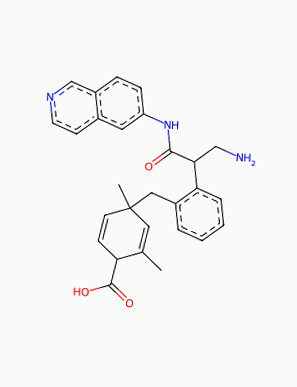 CC1=CC(C)(Cc2ccccc2C(CN)C(=O)Nc2ccc3cnccc3c2)C=CC1C(=O)O